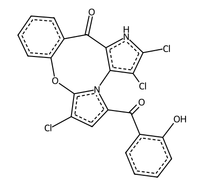 O=C1c2ccccc2Oc2c(Cl)cc(C(=O)c3ccccc3O)n2-c2c1[nH]c(Cl)c2Cl